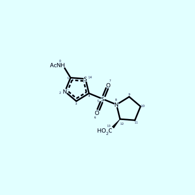 CC(=O)Nc1ncc(S(=O)(=O)N2CCC[C@H]2C(=O)O)s1